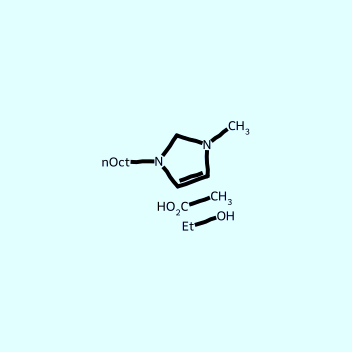 CC(=O)O.CCCCCCCCN1C=CN(C)C1.CCO